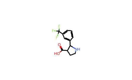 O=C(O)C1CCNC1c1cccc(C(F)(F)F)c1